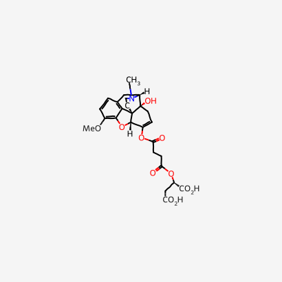 COc1ccc2c3c1O[C@H]1C(OC(=O)CCC(=O)O[C@H](CC(=O)O)C(=O)O)=CC[C@@]4(O)[C@@H](C2)N(C)CC[C@]314